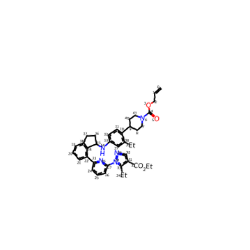 C=CCOC(=O)N1CCC(c2ccc(NC3CCc4cccc(-c5cccc(-n6ncc(C(=O)OCC)c6CC)n5)c43)cc2CC)CC1